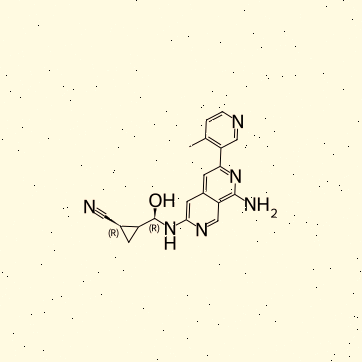 Cc1ccncc1-c1cc2cc(N[C@H](O)C3C[C@H]3C#N)ncc2c(N)n1